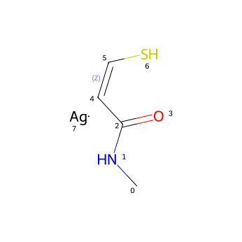 CNC(=O)/C=C\S.[Ag]